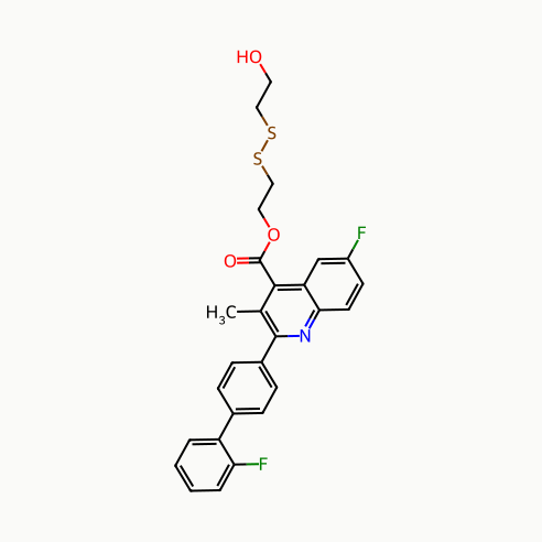 Cc1c(-c2ccc(-c3ccccc3F)cc2)nc2ccc(F)cc2c1C(=O)OCCSSCCO